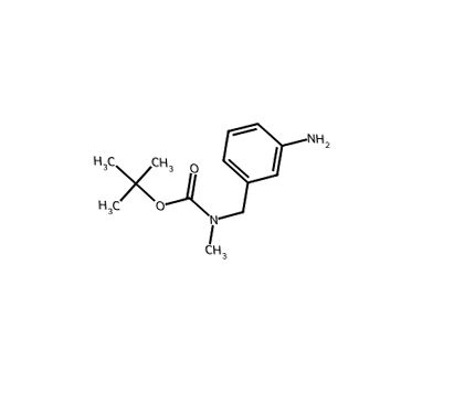 CN(Cc1cccc(N)c1)C(=O)OC(C)(C)C